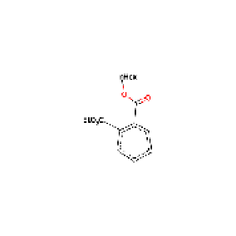 CCCCCCOC(=O)c1ccccc1C(=O)OCC